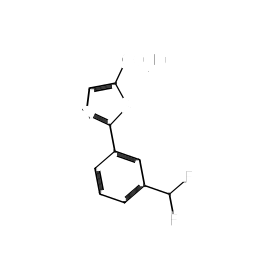 CCOC(=O)c1cnc(-c2cccc(C(F)F)c2)s1